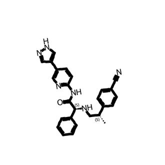 C[C@H](CN[C@H](C(=O)Nc1ccc(-c2cn[nH]c2)cn1)c1ccccc1)c1ccc(C#N)cc1